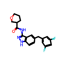 O=C(Nc1n[nH]c2ccc(Cc3cc(F)cc(F)c3)cc12)C1CCCOC1